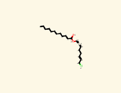 CCCCCCCCCCCC(=O)OC=C=CCCC=CCCl